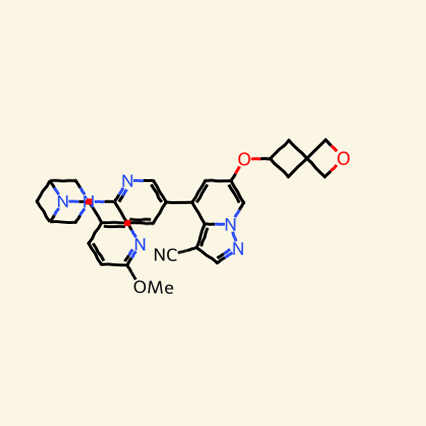 COc1ccc(CN2C3CC2CN(c2ccc(-c4cc(OC5CC6(COC6)C5)cn5ncc(C#N)c45)cn2)C3)cn1